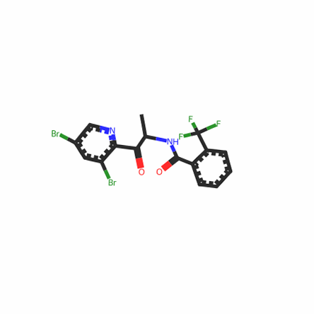 CC(NC(=O)c1ccccc1C(F)(F)F)C(=O)c1ncc(Br)cc1Br